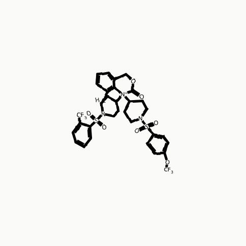 Cc1cccc2c1[N+](C1CCN(S(=O)(=O)c3ccc(OC(F)(F)F)cc3)CC1)(C1CCN(S(=O)(=O)c3ccccc3C(F)(F)F)CC1)C(=O)OC2